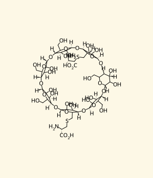 N[C@H](CSCC1O[C@@H]2O[C@@H]3C(CO)O[C@@H](O[C@@H]4C(CO)O[C@@H](O[C@@H]5C(CSC[C@@H](N)C(=O)O)O[C@H](O[C@H]6C(CO)O[C@H](O[C@@H]7C(CO)O[C@H](O[C@@H]8C(CO)O[C@@H](O[C@H]1[C@H](O)C2O)C(O)[C@H]8O)C(O)[C@H]7O)C(O)[C@H]6O)C(O)[C@H]5O)C(O)[C@H]4O)C(O)[C@H]3O)C(=O)O